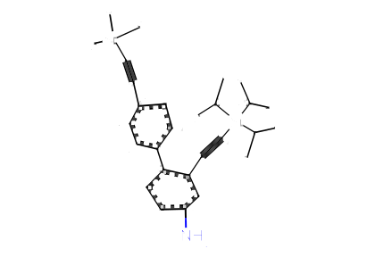 CC(C)[Si](C#Cc1cc(N)ccc1-c1ccc(C#C[Si](C)(C)C)cc1)(C(C)C)C(C)C